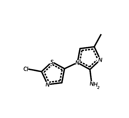 Cc1cn(-c2cnc(Cl)s2)c(N)n1